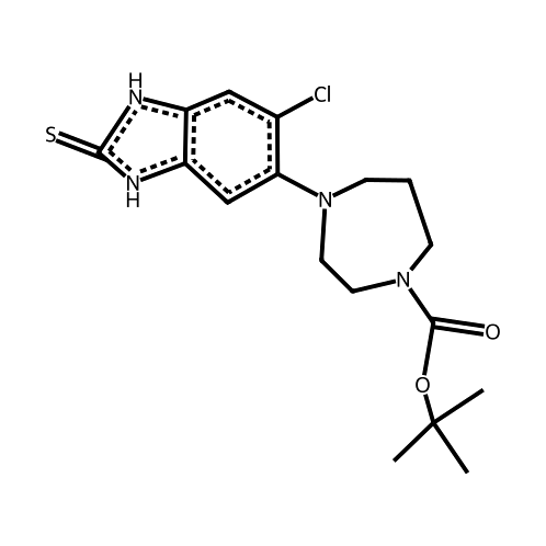 CC(C)(C)OC(=O)N1CCCN(c2cc3[nH]c(=S)[nH]c3cc2Cl)CC1